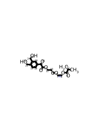 C=C(C)C(=O)O/C=C\OOCCOC(=O)C(=O)c1ccc(CO)c(CO)c1